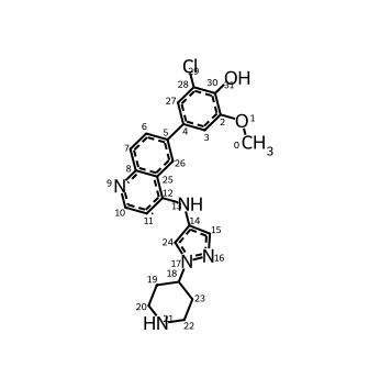 COc1cc(-c2ccc3nc[c]c(Nc4cnn(C5CCNCC5)c4)c3c2)cc(Cl)c1O